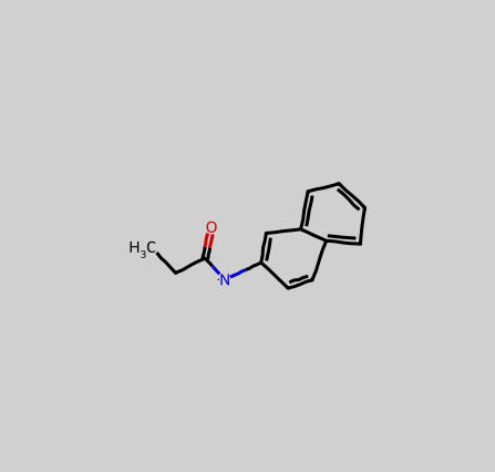 CCC(=O)[N]c1ccc2ccccc2c1